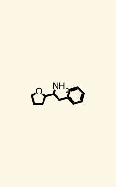 NC(Cc1ccccc1)C1CCCO1